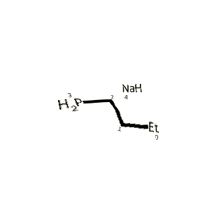 CCCCP.[NaH]